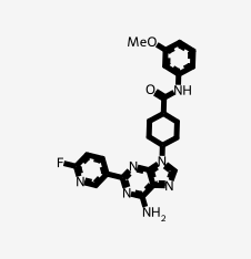 COc1cccc(NC(=O)C2CCC(n3cnc4c(N)nc(-c5ccc(F)nc5)nc43)CC2)c1